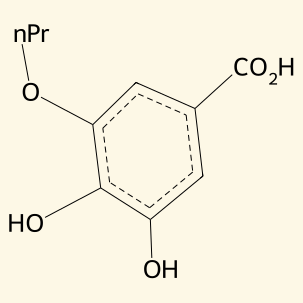 CCCOc1cc(C(=O)O)cc(O)c1O